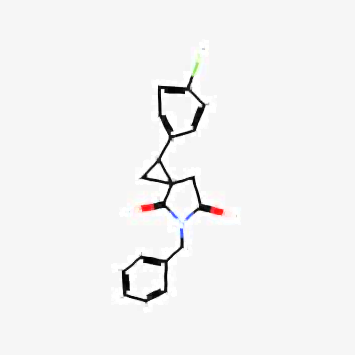 O=C1CC2(CC2c2ccc(F)cc2)C(=O)N1Cc1ccccc1